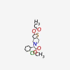 COC(=O)[C@@H](c1ccccc1Cl)N1CCc2sc(OC(C)=O)cc2C1